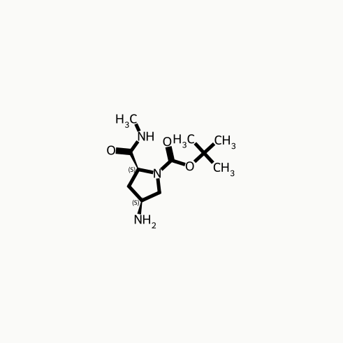 CNC(=O)[C@@H]1C[C@H](N)CN1C(=O)OC(C)(C)C